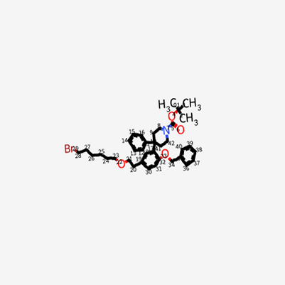 CC(C)(C)OC(=O)N1CCC(c2ccccc2)(c2cc(CCOCCCCCCBr)ccc2OCc2ccccc2)CC1